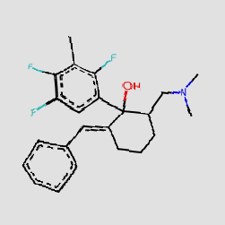 Cc1c(F)c(F)cc(C2(O)C(=Cc3ccccc3)CCCC2CN(C)C)c1F